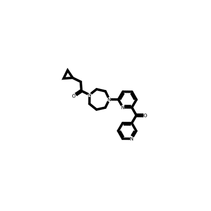 O=C(c1cccnc1)c1cccc(N2CCCN(C(=O)CC3CC3)CC2)n1